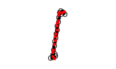 O=C(CCOCCOCCOCCOCCOCCOCCOCCOCCOCCC(=O)ON1C(=O)CCC1=O)ON1C(=O)CCC1=O